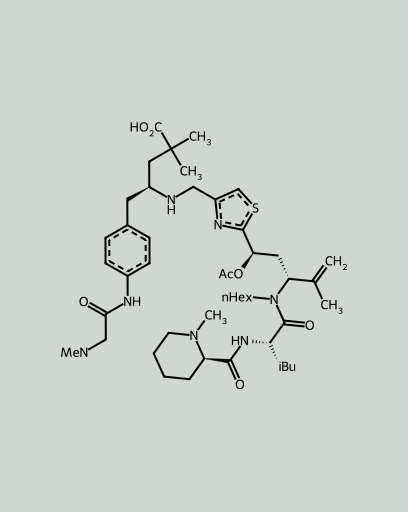 C=C(C)[C@@H](C[C@@H](OC(C)=O)c1nc(CN[C@@H](Cc2ccc(NC(=O)CNC)cc2)CC(C)(C)C(=O)O)cs1)N(CCCCCC)C(=O)[C@@H](NC(=O)[C@H]1CCCCN1C)[C@@H](C)CC